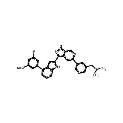 COc1cc(F)cc(-c2cccc3[nH]c(-c4n[nH]c5cnc(-c6cncc(CN(C)C)c6)cc45)cc23)c1